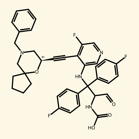 O=CC(NC(=O)O)C(Nc1cncc(F)c1C#C[C@@H]1CN(Cc2ccccc2)CC2(CCCC2)O1)(c1ccc(F)cc1)c1ccc(F)cc1